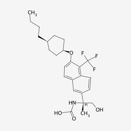 CCCC[C@H]1CC[C@@H](Oc2ccc3cc([C@](C)(CO)NC(=O)O)ccc3c2C(F)(F)F)CC1